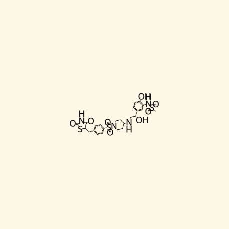 CS(=O)(=O)Nc1cc(C(O)CNC2CCN(S(=O)(=O)c3ccc(CC4SC(=O)NC4=O)cc3)CC2)ccc1O